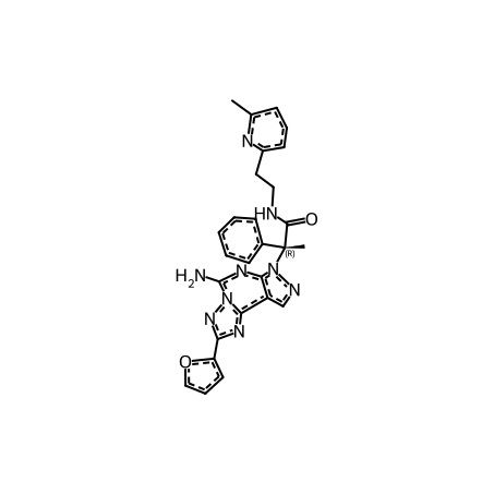 Cc1cccc(CCNC(=O)[C@@](C)(c2ccccc2)n2ncc3c2nc(N)n2nc(-c4ccco4)nc32)n1